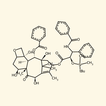 CC(=O)O[C@@]12COC1C[C@H](O)[C@@]1(C)C(=O)[C@H](O)C3=C(C)C(OC(=O)[C@H](O[Si](C)(C)C(C)(C)C)C(NC(=O)c4ccccc4)c4ccccc4)C[C@@](O)([C@@H](OC(=O)c4ccccc4)[C@@H]12)C3(C)C